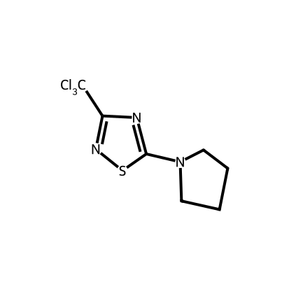 ClC(Cl)(Cl)c1nsc(N2CCCC2)n1